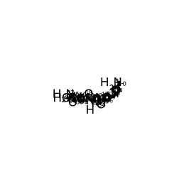 C[C@@H](N)C1CCN(Cc2ccc(-n3ccc(NC(=O)N4CCN(C(=O)C(C)(N)CO)CC4)nc3=O)cc2)CC1